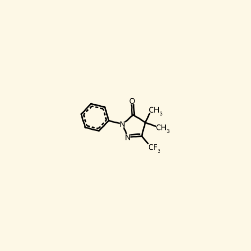 CC1(C)C(=O)N(c2ccccc2)N=C1C(F)(F)F